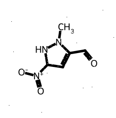 CN1NC([N+](=O)[O-])C=C1C=O